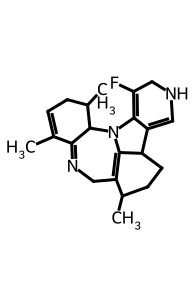 CC1=CCC(C)C2C1=NCC1=C3C(CCC1C)C1=CNCC(F)=C1N32